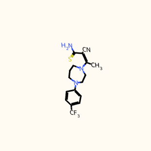 CC(=C(C#N)C(N)=S)N1CCCN(c2ccc(C(F)(F)F)cc2)CC1